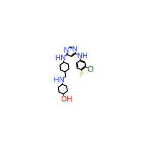 OC1CCC(NCC2CCC(Nc3cc(Nc4ccc(F)c(Cl)c4)ncn3)CC2)CC1